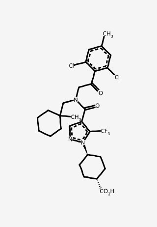 Cc1cc(Cl)c(C(=O)CN(CC2(C)CCCCC2)C(=O)c2cnn([C@H]3CC[C@H](C(=O)O)CC3)c2C(F)(F)F)c(Cl)c1